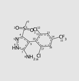 CS(=O)(=O)c1n[nH]c(N)c1-c1c(Cl)cc(C(F)(F)F)cc1Cl